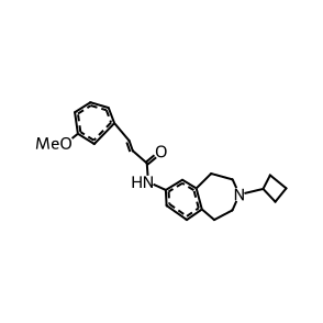 COc1cccc(C=CC(=O)Nc2ccc3c(c2)CCN(C2CCC2)CC3)c1